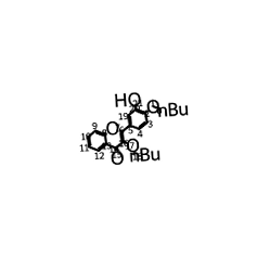 CCCCOc1ccc(-c2oc3ccccc3c(=O)c2OCCCC)cc1O